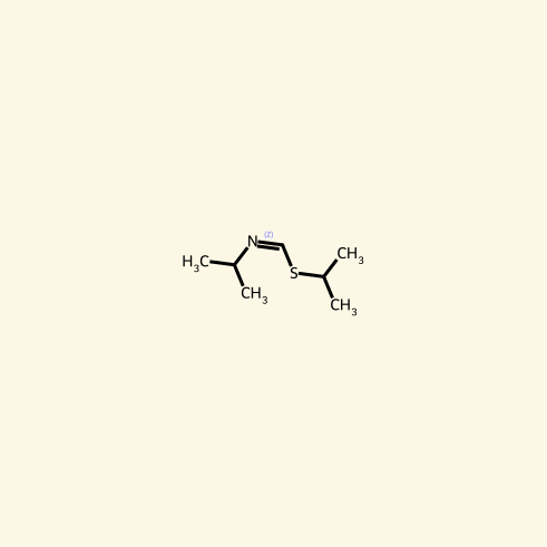 CC(C)/N=C\SC(C)C